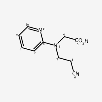 N#CCCN(CC(=O)O)c1ccccn1